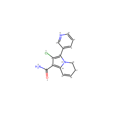 NC(=O)c1c(Cl)c(-c2cccnc2)n2c1C=CCC2